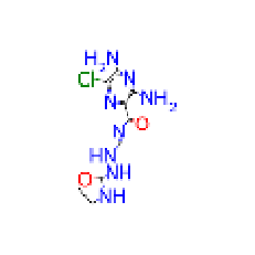 Nc1nc(N)c(C(=O)N=CNNC2NCCO2)nc1Cl